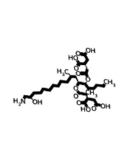 CCCC[C@@H](C)[C@@H](OC(=O)C[C@@H](CC(=O)O)C(=O)O)[C@H](C[C@@H](C)CCCCCCCC[C@H](O)CN)OC(=O)C[C@@H](CC(=O)O)C(=O)O